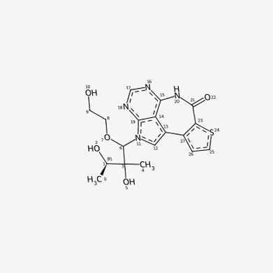 C[C@@H](O)C(C)(O)C(OCCO)n1cc2c3c(ncnc31)NC(=O)c1sccc1-2